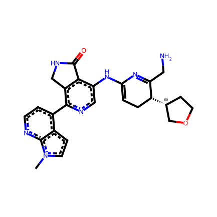 Cn1ccc2c(-c3ncc(NC4=CCC([C@@H]5CCOC5)C(CN)=N4)c4c3CNC4=O)ccnc21